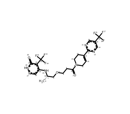 C[C@@H](COCCC(=O)N1CC=C(c2ncc(C(F)(F)F)cn2)CC1)Nc1cn[nH]c(=O)c1C(F)(F)F